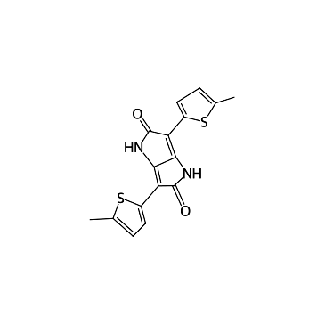 Cc1ccc(C2=C3NC(=O)C(c4ccc(C)s4)=C3NC2=O)s1